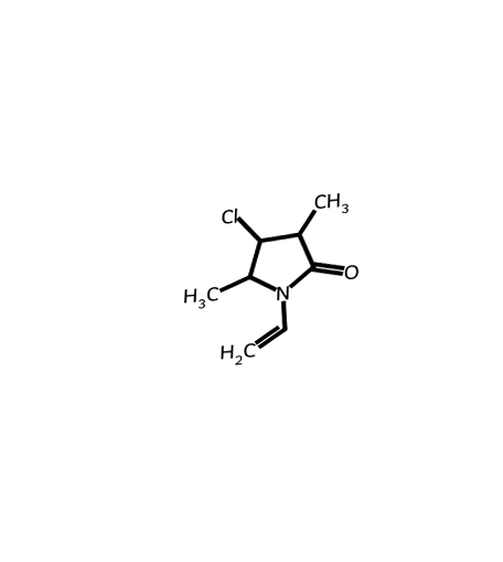 C=CN1C(=O)C(C)C(Cl)C1C